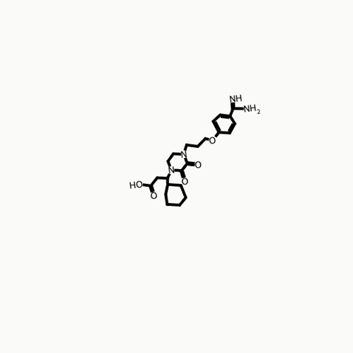 N=C(N)c1ccc(OCCCN2CCN(C(CC(=O)O)C3CCCCC3)C(=O)C2=O)cc1